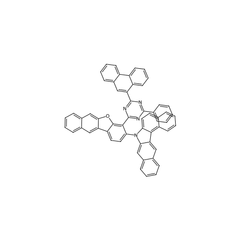 c1ccc(-c2nc(-c3cc4ccccc4c4ccccc34)nc(-c3c(-n4c5cc6ccccc6cc5c5c6ccccc6ccc54)ccc4c3oc3cc5ccccc5cc34)n2)cc1